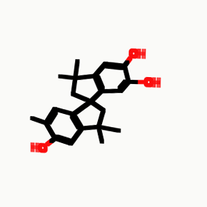 Cc1cc2c(cc1O)C(C)(C)CC21CC(C)(C)c2cc(O)c(O)cc21